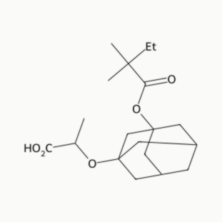 CCC(C)(C)C(=O)OC12CC3CC(C1)CC(OC(C)C(=O)O)(C3)C2